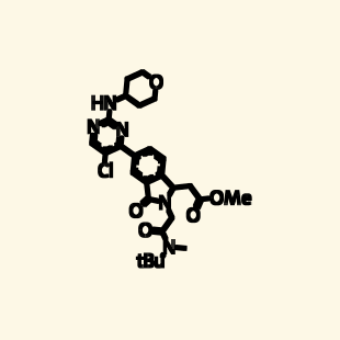 COC(=O)CC1c2ccc(-c3nc(NC4CCOCC4)ncc3Cl)cc2C(=O)N1CC(=O)N(C)C(C)(C)C